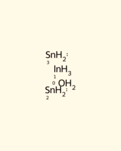 O.[InH3].[SnH2].[SnH2]